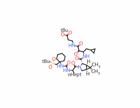 CCCCCCCC(NC(=O)NC1(CS(=O)(=O)C(C)(C)C)CCCCC1)C(=O)N1C[C@H]2[C@@H]([C@H]1C(=O)NC(CC1CC1)C(=O)C(=O)NCCC(=O)OC(C)(C)C)C2(C)C